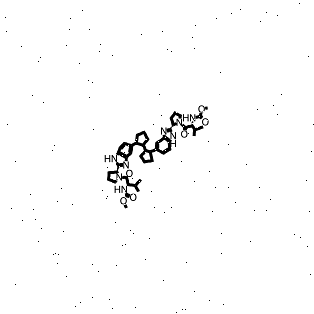 COC(=O)N[C@H](C(=O)N1CCC[C@H]1c1nc2cc(C3CCCC3C3CCCC3c3ccc4[nH]c([C@@H]5CCCN5C(=O)[C@@H](NC(=O)OC)C(C)C)nc4c3)ccc2[nH]1)C(C)C